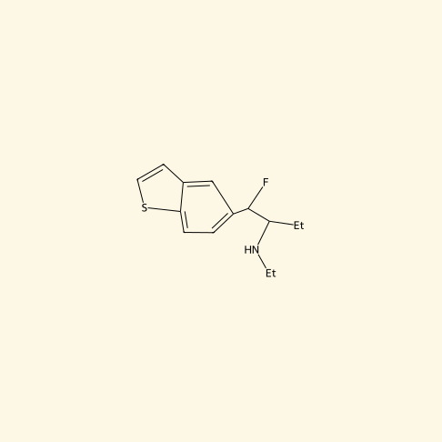 CCNC(CC)C(F)c1ccc2sccc2c1